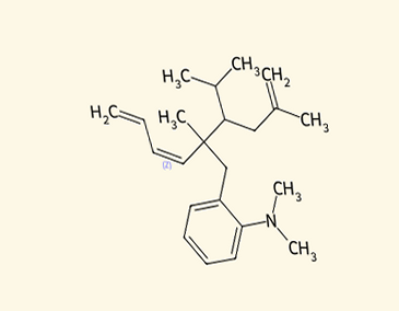 C=C/C=C\C(C)(Cc1ccccc1N(C)C)C(CC(=C)C)C(C)C